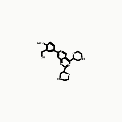 COc1ccc(-c2cc3nc(C4CNCCO4)nc(C4CNCCO4)c3cn2)cc1CO